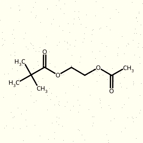 CC(=O)OC[CH]OC(=O)C(C)(C)C